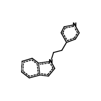 c1ccc2c(c1)ccn2CCc1ccncc1